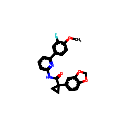 COc1ccc(-c2cccc(NC(=O)C3(c4ccc5c(c4)OCO5)CC3)n2)cc1F